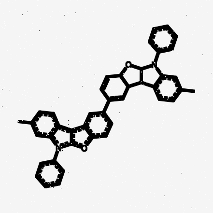 Cc1ccc2c(c1)N(c1ccccc1)C1OC3C=CC(c4ccc5oc6c(c5c4)c4ccc(C)cc4n6-c4ccccc4)=CC3C21